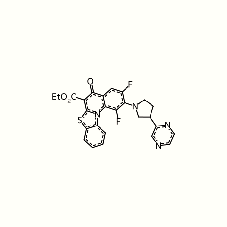 CCOC(=O)c1c(=O)c2cc(F)c(N3CCC(c4cnccn4)C3)c(F)c2n2c1sc1ccccc12